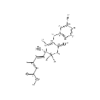 COC(=O)C=C(C)C=C[C@@]1(O)C(C)=C(Cc2cccc(F)c2)C(=O)CC1(C)C